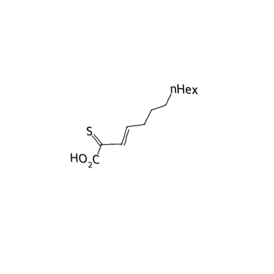 CCCCCCCCCC=CC(=S)C(=O)O